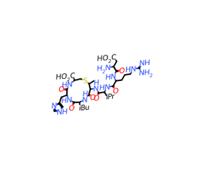 CCC(C)C1NC(=O)C(NC(=O)C(NC(=O)C(CCCNC(=N)N)NC(=O)C(N)CC(=O)O)C(C)C)C(C)SCC(C(=O)O)NC(=O)C(Cc2c[nH]cn2)NC1=O